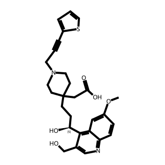 COc1ccc2ncc(CO)c([C@@H](O)CCC3(CC(=O)O)CCN(CC#Cc4cccs4)CC3)c2c1